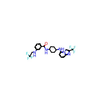 O=C(NC1CCC(Nc2cccc3nc(C(F)(F)F)cn23)CC1)c1cccc(NCC(F)(F)F)c1